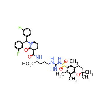 Cc1c(C)c(S(=O)(=O)NC(=N)NCCC[C@H](NC(=O)c2cccn(C(c3cccc(F)c3)c3cccc(F)c3)c2=O)C(=O)O)c(C)c2c1OC(C)(C)CC2